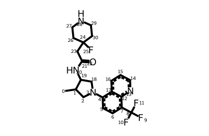 CC1CN(c2ccc(C(F)(F)F)c3ncccc23)CC1NC(=O)CC1(F)CCNCC1